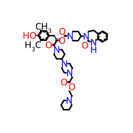 Cc1cc(C[C@@H](OC(=O)N2CCC(N3CCc4ccccc4NC3=O)CC2)C(=O)N2CCC(N3CCN(CC(=O)OCCN4CCCCC4)CC3)CC2)cc(C)c1O